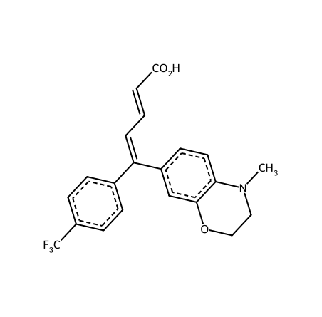 CN1CCOc2cc(/C(=C\C=C\C(=O)O)c3ccc(C(F)(F)F)cc3)ccc21